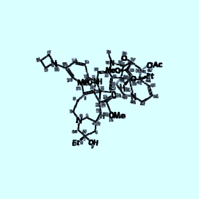 CC[C@]1(O)C[C@H]2CN(CCc3c([nH]c4ccc(N5CCC5)cc34)[C@@](C(=O)OC)(C3C=C4C(=CC3OC)N(C)[C@@]35O[C@]3(C(=O)OC)[C@H](OC(C)=O)[C@]3(CC)C=CCN6CC[C@]45[C@@H]63)C2)C1